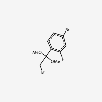 COC(CBr)(OC)c1ccc(Br)cc1F